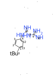 CC(C)(C)c1ccc(NC(=N)NC(=N)N)cc1